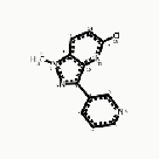 Cn1nc(-c2cccnc2)c2nc(Cl)ccc21